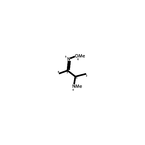 CNC(C)/C(C)=N\OC